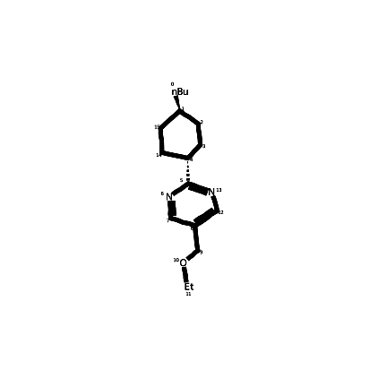 CCCC[C@H]1CC[C@H](c2ncc(COCC)cn2)CC1